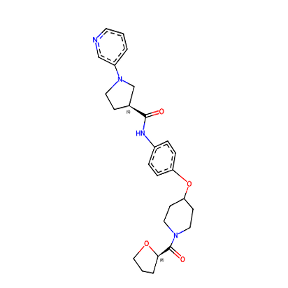 O=C(Nc1ccc(OC2CCN(C(=O)[C@H]3CCCO3)CC2)cc1)[C@H]1CCN(c2cccnc2)C1